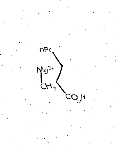 CCCCCC(=O)O.[CH3][Mg+2]